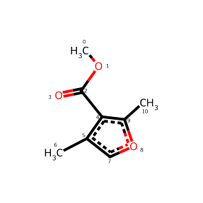 COC(=O)c1c(C)coc1C